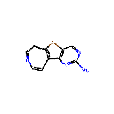 Nc1ncc2sc3c(c2n1)C=CN=CC3